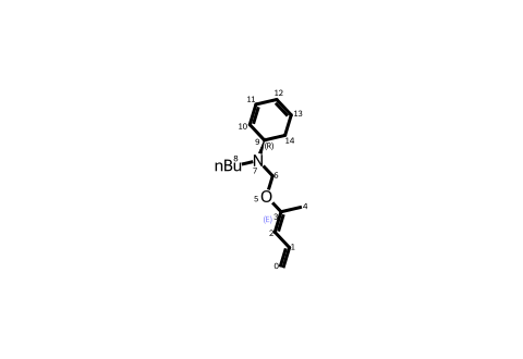 C=C/C=C(\C)OCN(CCCC)[C@H]1C=CC=CC1